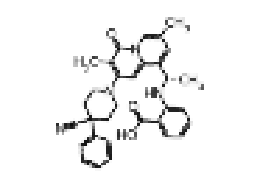 Cc1cc([C@H](C)Nc2ccccc2C(=O)O)c2cc(N3CCC(C#N)(c4ccccc4)CC3)c(C)c(=O)n2c1